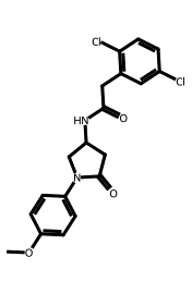 COc1ccc(N2CC(NC(=O)Cc3cc(Cl)ccc3Cl)CC2=O)cc1